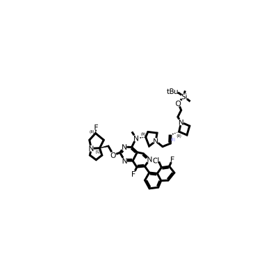 CN(c1nc(OC[C@@]23CCCN2C[C@H](F)C3)nc2c(F)c(-c3cccc4ccc(F)c(Cl)c34)ncc12)[C@@H]1CCN(C/C=C/[C@H]2CCN2CCO[Si](C)(C)C(C)(C)C)C1